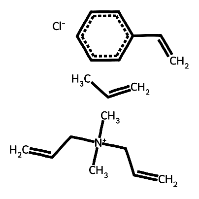 C=CC.C=CC[N+](C)(C)CC=C.C=Cc1ccccc1.[Cl-]